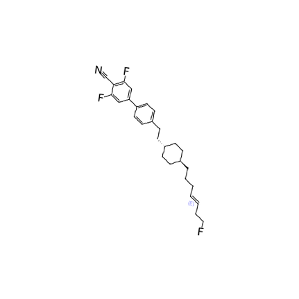 N#Cc1c(F)cc(-c2ccc(CC[C@H]3CC[C@H](CCC/C=C/CCF)CC3)cc2)cc1F